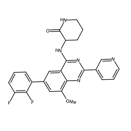 COc1cc(-c2cccc(F)c2F)cc2c(NC3CCCNC3=O)nc(-c3cccnc3)nc12